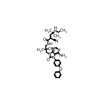 CCNC(C)(C)C=C(C#N)C(=O)NCC(C)(C)Cn1c(=O)n(-c2ccc(Oc3ccccc3)cc2)c2c(N)ncnc21